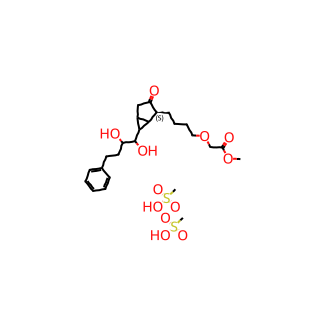 COC(=O)COCCCC[C@@H]1C(=O)CC2C(C(O)C(O)CCc3ccccc3)C21.CS(=O)(=O)O.CS(=O)(=O)O